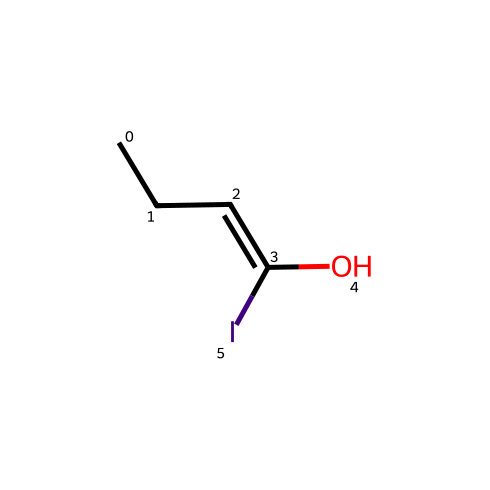 CC/C=C(/O)I